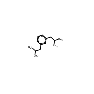 CC(=O)OC(C)Cc1cccc(CC(C)OC(C)=O)c1